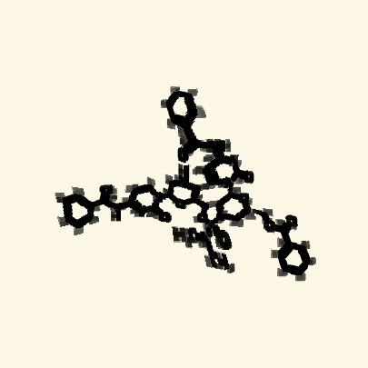 CN(C)[P@](=O)(OC[C@@H]1CNC[C@H](n2ccc(NC(=O)c3ccccc3)nc2=O)O1)N1C[C@@H](COC(=O)c2ccccc2)O[C@@H](n2ccc(NC(=O)c3ccccc3)nc2=O)C1